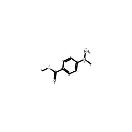 COC(=O)c1ccc(N(C)N)cc1